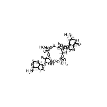 B[P@]1(=O)OC[C@H]2O[C@@H](n3cnc4c(N)ncnc43)[C@@H](F)C2OP(=O)(NO)OC[C@H]2O[C@@H](n3cnc4c(=O)[nH]c(N)nc43)[C@@H](O1)C2CO